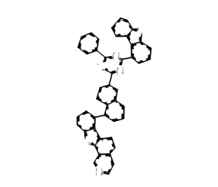 c1ccc(-c2nc(-c3ccc4c(-c5cccc6oc7c8cnccc8ccc7c56)cccc4c3)nc(-c3cccc4oc5ccccc5c34)n2)cc1